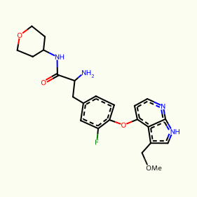 COCc1c[nH]c2nccc(Oc3ccc(CC(N)C(=O)NC4CCOCC4)cc3F)c12